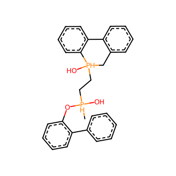 C[PH](O)(CC[PH]1(O)Cc2ccccc2-c2ccccc21)Oc1ccccc1-c1ccccc1